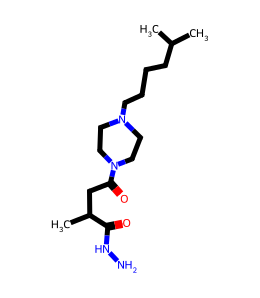 CC(C)CCCCN1CCN(C(=O)CC(C)C(=O)NN)CC1